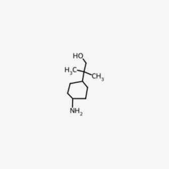 CC(C)(CO)C1CCC(N)CC1